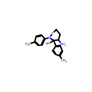 CCCC1(c2ccc(C)cc2)C(N)CCCN1c1ccc(C)cc1